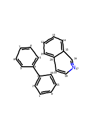 c1ccc(-c2ccccc2)cc1.c1ccc2cnccc2c1